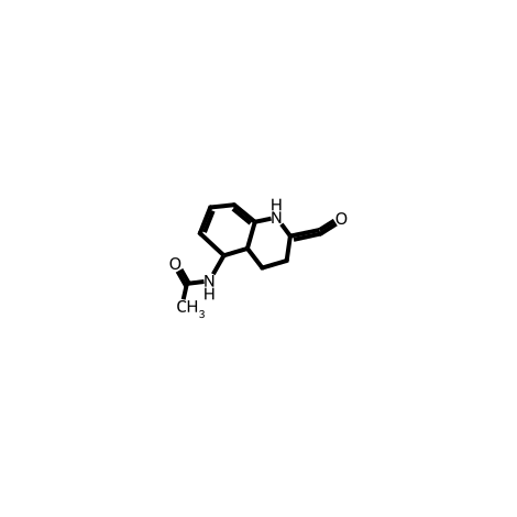 CC(=O)NC1C=CC=C2NC(=C=O)CCC21